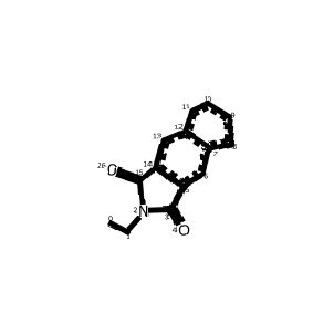 CCN1C(=O)c2cc3ccccc3cc2C1=O